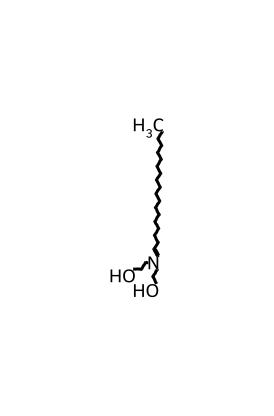 CCCCCCCCCCCCCCCCCCC=CN(CCCO)CCCO